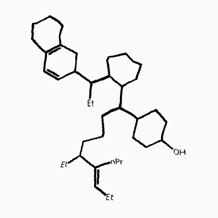 CC/C=C(\CCC)C(CC)CCCC(C1CCC(O)CC1)C1CCCCC1C(CC)C1C=CC2=C(CCCC2)C1